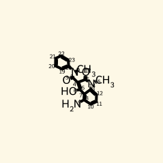 CN(C(=O)c1c(O)c2c(N)cccc2n(C)c1=O)c1ccccc1